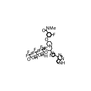 CNC(=O)c1cc(F)cc(OC2CCN(CC(CC#N)n3cc(-c4ncnc5[nH]ccc45)cn3)CC2)c1.O=C(O)C(F)(F)F.O=C(O)C(F)(F)F.O=C(O)C(F)(F)F